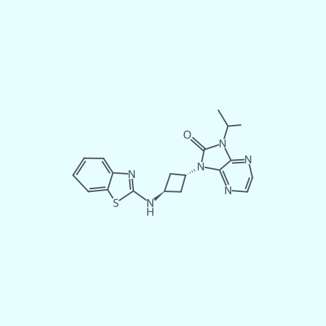 CC(C)n1c(=O)n([C@H]2C[C@H](Nc3nc4ccccc4s3)C2)c2nccnc21